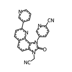 N#CCn1c(=O)n(-c2ccc(C#N)nc2)c2c3nc(-c4cccnc4)ccc3ccc21